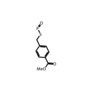 COC(=O)c1ccc(CSP=O)cc1